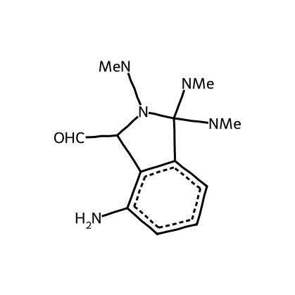 CNN1C(C=O)c2c(N)cccc2C1(NC)NC